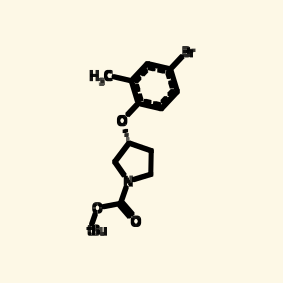 Cc1cc(Br)ccc1O[C@@H]1CCN(C(=O)OC(C)(C)C)C1